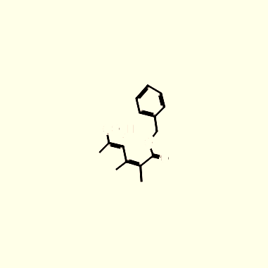 CC(=CC(C)=C(C)C(=O)OCc1ccccc1)C(=O)O